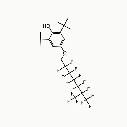 CC(C)(C)c1cc(OCC(F)(F)C(F)(F)C(F)(F)C(F)(F)C(F)(C(F)(F)F)C(F)(F)F)cc(C(C)(C)C)c1O